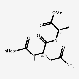 CCCCCCCC(=O)N[C@@H](CC(N)=O)C(=O)N[C@H](C)C(=O)OC